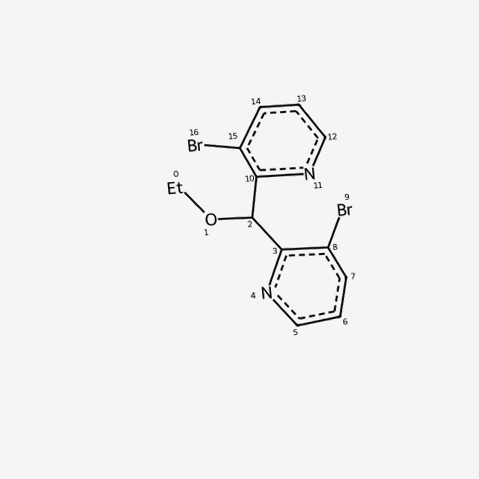 CCOC(c1ncccc1Br)c1ncccc1Br